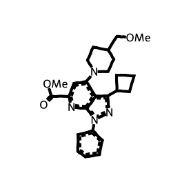 COCC1CCN(c2cc(C(=O)OC)nc3c2c(C2CCC2)nn3-c2ccccc2)CC1